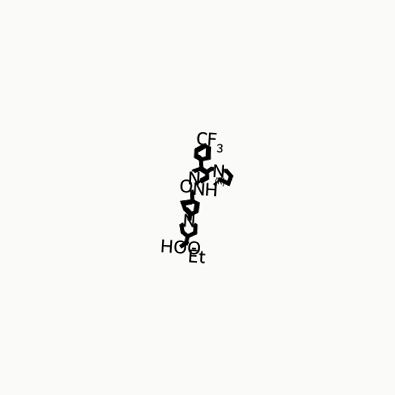 CCOC(O)C1CCN(c2ccc(C(=O)Nc3cc(CN4CCC[C@H]4C)c(-c4ccc(C(F)(F)F)cc4)cn3)cc2)CC1